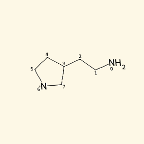 NCCC1CC[N]C1